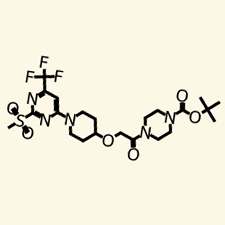 CC(C)(C)OC(=O)N1CCN(C(=O)COC2CCN(c3cc(C(F)(F)F)nc(S(C)(=O)=O)n3)CC2)CC1